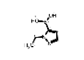 CCn1nccc1B(O)O